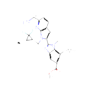 C=C[C@H]1[C@H](Cn2c(-c3nc4cc(C(=O)OC(C)C)cc(OC)c4n3C)cc3ccc([C@@H](C)N)nc32)C1(F)F